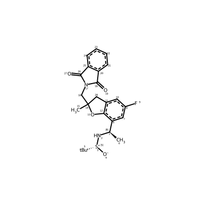 C[C@@H](N[S@+]([O-])C(C)(C)C)c1cc(F)cc2c1OC(C)(CN1C(=O)c3ccccc3C1=O)C2